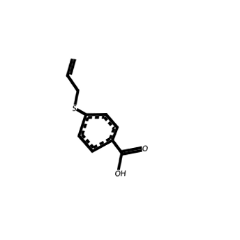 C=CCSc1ccc(C(=O)O)cc1